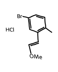 COC=Cc1cc(Br)ccc1C.Cl